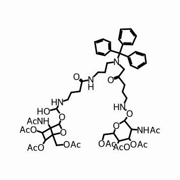 CC(=O)NC1C(ONCCCC(=O)CN(CCCNC(=O)CCCNC(O)OC2OC3(COC(C)=O)C(OC(C)=O)C(OC(C)=O)C23NC(C)=O)C(c2ccccc2)(c2ccccc2)c2ccccc2)OC(COC(C)=O)C(OC(C)=O)C1OC(C)=O